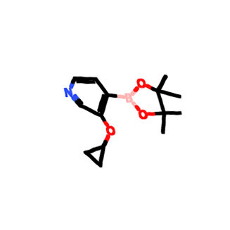 CC1(C)OB(c2ccncc2OC2CC2)OC1(C)C